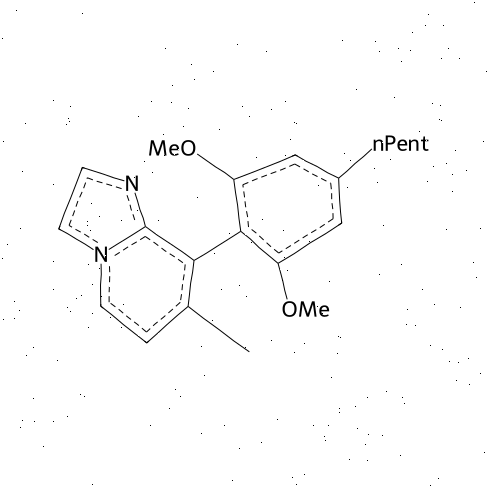 CCCCCc1cc(OC)c(-c2c(C)ccn3ccnc23)c(OC)c1